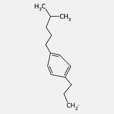 [CH2]CCc1ccc(CCCC(C)C)cc1